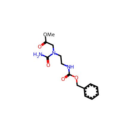 COC(=O)CN(CCNC(=O)OCc1ccccc1)C(N)=O